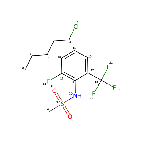 CCCCCCl.CS(=O)(=O)Nc1c(F)cccc1C(F)(F)F